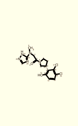 CN(CC(=O)N1CC[C@H](c2c(O)ccc(Cl)c2Cl)C1)c1ncn[nH]1